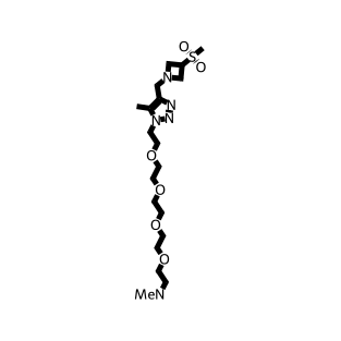 CNCCOCCOCCOCCOCCn1nnc(CN2CC(S(C)(=O)=O)C2)c1C